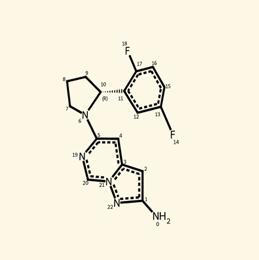 Nc1cc2cc(N3CCC[C@@H]3c3cc(F)ccc3F)ncn2n1